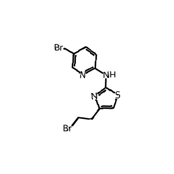 BrCCc1csc(Nc2ccc(Br)cn2)n1